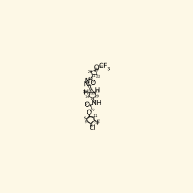 O=C(COc1ccc(Cl)c(F)c1)NC1C[C@@H]2C(c3nnc(C4CC(OC(F)(F)F)C4)o3)[C@@H]2C1